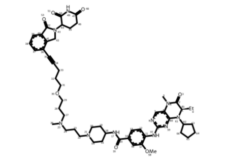 CC[C@@H]1C(=O)N(C)c2cnc(Nc3ccc(C(=O)NC4CCN(CCCN(C)CCCOCCCC#Cc5cccc6c5CN(C5CCC(=O)NC5=O)C6=O)CC4)cc3OC)nc2N1C1CCCC1